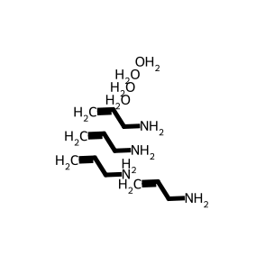 C=CCN.C=CCN.C=CCN.C=CCN.O.O.O.O